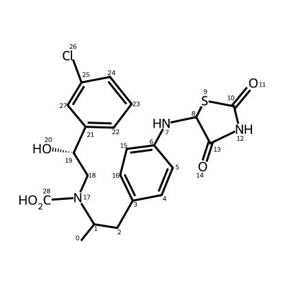 CC(Cc1ccc(NC2SC(=O)NC2=O)cc1)N(C[C@H](O)c1cccc(Cl)c1)C(=O)O